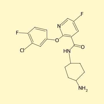 NC1CCC(NC(=O)c2cc(F)cnc2Oc2ccc(F)c(Cl)c2)CC1